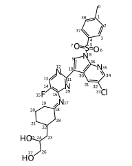 Cc1ccc(S(=O)(=O)n2cc(-c3ncc(F)c(/N=C4\CCCC(CC(O)CO)C4)n3)c3cc(Cl)cnc32)cc1